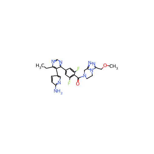 CCc1ncnc(-c2cc(F)c(C(=O)N3CCn4c(COC)nnc4C3)c(F)c2)c1-c1ccc(N)nc1